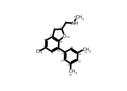 CNCC1Cc2cc(Cl)cc(-c3cc(C)cc(C)c3)c2O1